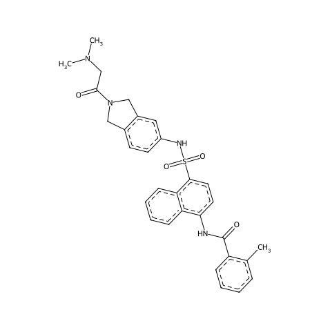 Cc1ccccc1C(=O)Nc1ccc(S(=O)(=O)Nc2ccc3c(c2)CN(C(=O)CN(C)C)C3)c2ccccc12